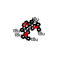 CC(C)c1cc2c3c(c1)N(c1c(-c4ccccc4)cc(C(C)(C)C)cc1-c1ccccc1)c1cc(-n4c5cc(C(C)(C)C)ccc5c5ccc(C(C)(C)C)cc54)ccc1B3c1ccc(-n3c4cc(C(C)(C)C)ccc4c4ccc(C(C)(C)C)cc43)cc1N2c1c(-c2ccccc2)cc(C(C)(C)C)cc1-c1ccccc1